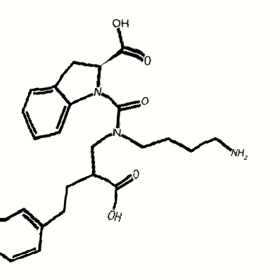 NCCCCN(CC(CCc1ccccc1)C(=O)O)C(=O)N1c2ccccc2C[C@H]1C(=O)O